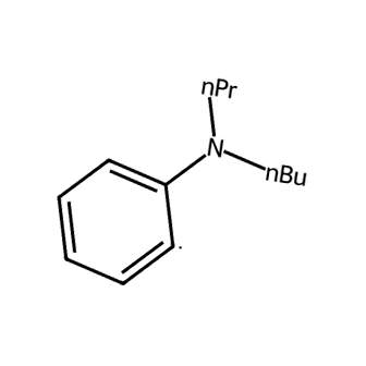 CCCCN(CCC)c1[c]cccc1